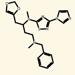 CN(CCC(CC1=COCO1)N(C)c1nc(-n2ccnc2)ns1)Cc1ccccc1